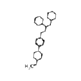 C=CC1CCC(c2ccc(CCC(CC3CCCCC3)C3CCCCC3)cc2)CC1